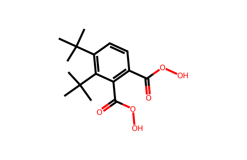 CC(C)(C)c1ccc(C(=O)OO)c(C(=O)OO)c1C(C)(C)C